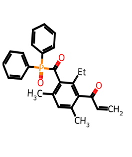 C=CC(=O)c1c(C)cc(C)c(C(=O)P(=O)(c2ccccc2)c2ccccc2)c1CC